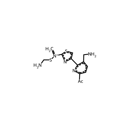 C=[N+](SCN)c1nc(-c2nc(C(C)=O)ccc2CN)cs1